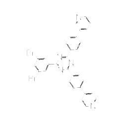 Brc1cc(Br)cc(-c2nc(-c3ccc(-c4ccncc4)cc3)nc(-c3ccc(-c4cccnc4)cc3)n2)c1